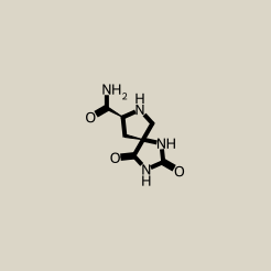 NC(=O)[C@@H]1C[C@@]2(CN1)NC(=O)NC2=O